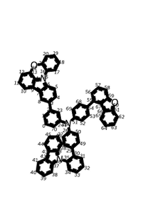 c1cc(-c2ccc3c(c2)c2cccc4c2n3-c2ccccc2O4)cc(N(c2ccc(-c3ccccc3-n3c4ccccc4c4ccccc43)cc2)c2ccc(-c3cccc4oc5ccccc5c34)cc2)c1